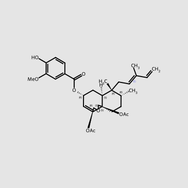 C=C/C(C)=C/C[C@]1(C)[C@H](C)CC[C@@]23C(=C[C@H](OC(=O)c4ccc(O)c(OC)c4)C[C@@H]12)[C@@H](OC(C)=O)O[C@H]3OC(C)=O